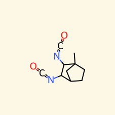 CC12CCC(C1)C(N=C=O)C2N=C=O